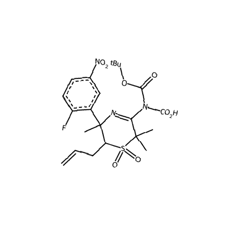 C=CCC1C(C)(c2cc([N+](=O)[O-])ccc2F)N=C(N(C(=O)O)C(=O)OC(C)(C)C)C(C)(C)S1(=O)=O